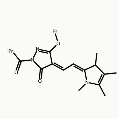 CCOC1=NN(C(=O)C(C)C)C(=O)/C1=C/C=C1/C(C)C(C)=C(C)N1C